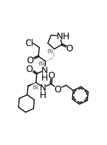 O=C(N[C@@H](CC1CCCCC1)C(=O)N[C@@H](C[C@@H]1CCNC1=O)C(=O)CCl)OCc1ccccc1